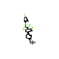 CCCc1ccc(-c2cc(F)c(/C(F)=C(\F)c3ccc(F)cc3)c(F)c2)cc1